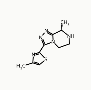 Cc1csc(-c2nnc3n2CCN[C@@H]3C)n1